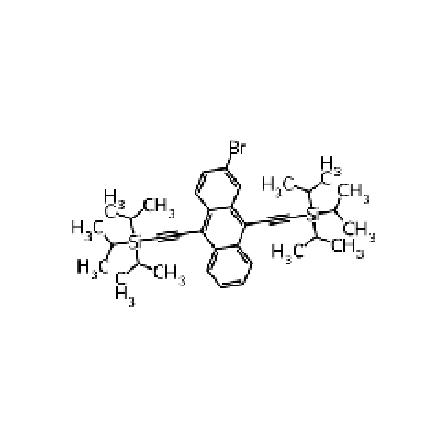 CC(C)[Si](C#Cc1c2ccccc2c(C#C[Si](C(C)C)(C(C)C)C(C)C)c2cc(Br)ccc12)(C(C)C)C(C)C